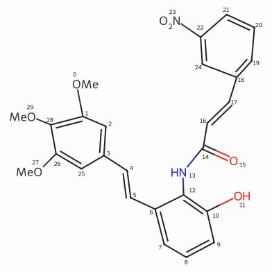 COc1cc(C=Cc2cccc(O)c2NC(=O)/C=C/c2cccc([N+](=O)[O-])c2)cc(OC)c1OC